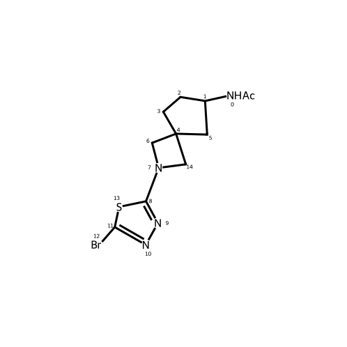 CC(=O)NC1CCC2(C1)CN(c1nnc(Br)s1)C2